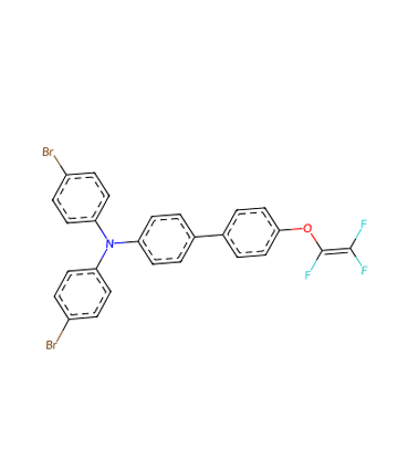 FC(F)=C(F)Oc1ccc(-c2ccc(N(c3ccc(Br)cc3)c3ccc(Br)cc3)cc2)cc1